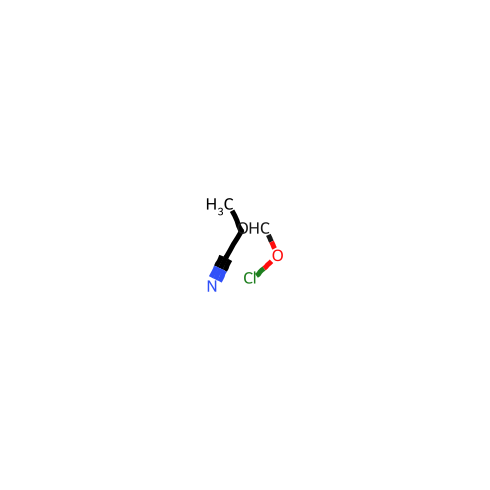 CCC#N.O=COCl